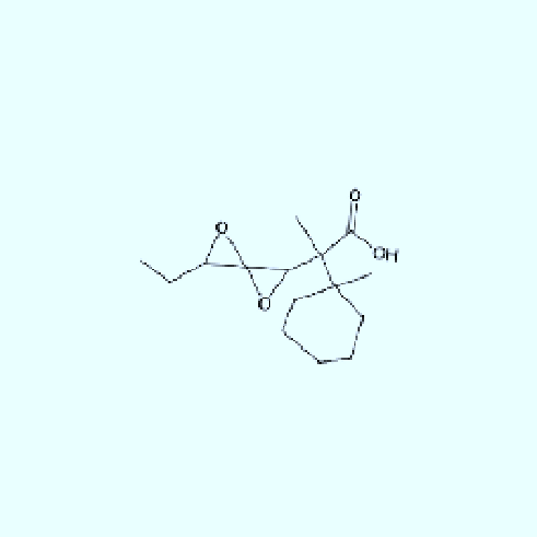 CCC1OC12OC2C(C)(C(=O)O)C1(C)CCCCC1